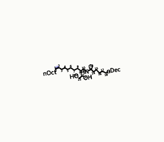 CCCCCCCC/C=C\CCCCCCCCNC(=O)CCCCCCCCCCCCCCC.OCCO